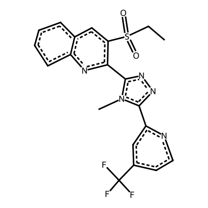 CCS(=O)(=O)c1cc2ccccc2nc1-c1nnc(-c2cc(C(F)(F)F)ccn2)n1C